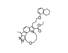 CCOC(=O)c1c(CCCOc2cccc3c2CCCC3)c2ccc(C)c3c2n1CCCCOCc1c-3c(CC)nn1C